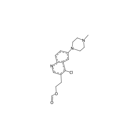 CN1CCN(c2ccc3ncc(CCOC=O)c(Cl)c3c2)CC1